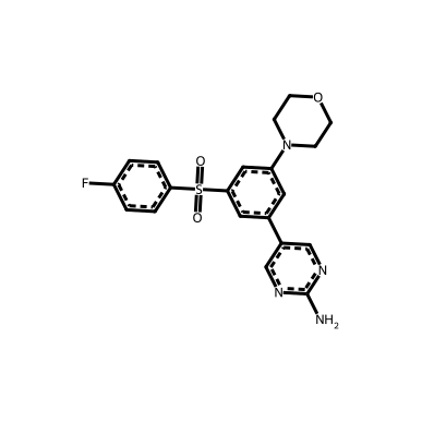 Nc1ncc(-c2cc(N3CCOCC3)cc(S(=O)(=O)c3ccc(F)cc3)c2)cn1